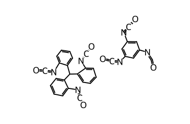 O=C=Nc1cc(N=C=O)cc(N=C=O)c1.O=C=Nc1ccccc1C(c1ccccc1N=C=O)c1ccccc1N=C=O